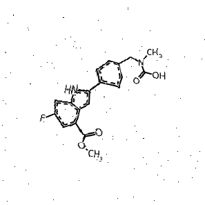 COC(=O)c1cc(F)cc2[nH]c(-c3ccc(CN(C)C(=O)O)cc3)cc12